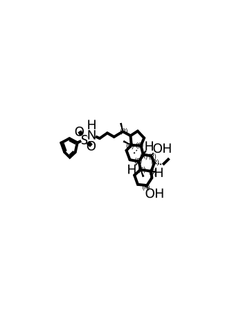 CC[C@H]1[C@@H](O)[C@@H]2[C@H](CC[C@]3(C)C([C@H](C)CCCNS(=O)(=O)c4ccccc4)CC[C@@]23C)[C@@]2(C)CC[C@@H](O)C[C@@H]12